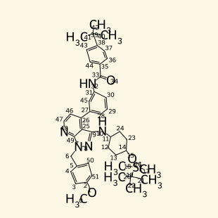 COc1ccc(Cn2nc(NC3CCC(O[Si](C)(C)C(C)(C)C)CC3)c3c(-c4cccc(NC(=O)c5ccc(C(C)(C)C)cc5)c4)ccnc32)cc1